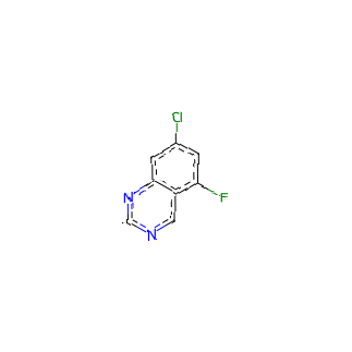 Fc1cc(Cl)cc2n[c]ncc12